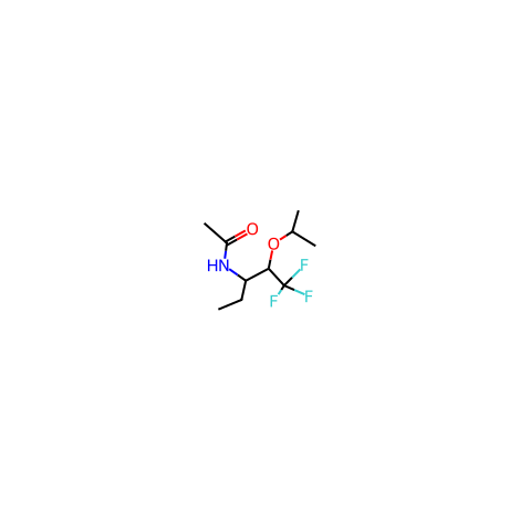 CCC(NC(C)=O)C(OC(C)C)C(F)(F)F